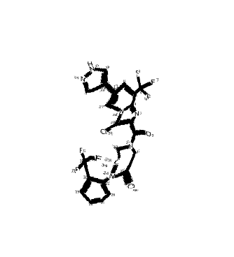 O=C(c1nc2c(C(F)(F)F)cc(-c3cn[nH]c3)cn2c1Cl)N1CCN(c2ccccc2C(F)(F)F)C(=O)C1